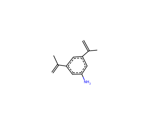 C=C(C)c1cc(N)cc(C(=C)C)c1